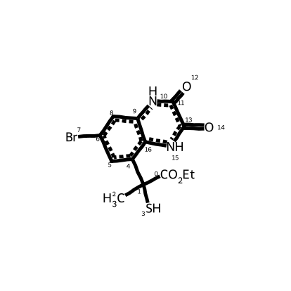 CCOC(=O)C(C)(S)c1cc(Br)cc2[nH]c(=O)c(=O)[nH]c12